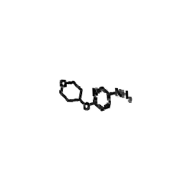 Nc1ccc(OC2CCOCC2)nc1